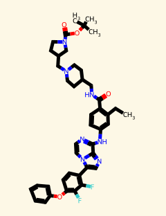 CCc1cc(Nc2nccn3c(-c4ccc(Oc5ccccc5)c(F)c4F)cnc23)ccc1C(=O)NCC1CCN(CC2CCN(C(=O)OC(C)(C)C)C2)CC1